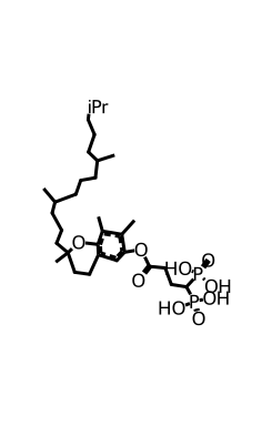 Cc1c(OC(=O)CCC(P(=O)(O)O)P(=O)(O)O)cc2c(c1C)OC(C)(CCCC(C)CCCC(C)CCCC(C)C)CC2